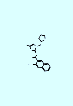 COc1cc2ccccc2cc1C(=O)N=c1sc(C(C)(C)C)cn1C[C@H]1CCCO1